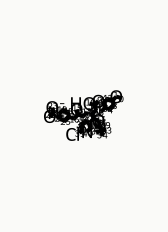 COc1ccc(CN(C(=O)O)[C@H](CCC(=O)Cc2ccc([N+](=O)[O-])cc2)C(O[Si](C)(C)C(C)(C)C)c2ccc(Cl)nc2)cc1